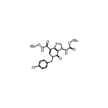 CC(C)(C)ONC(=O)C1=CC(Cc2ccc(Cl)cc2)C(=O)C2=C1SCN2NC(=O)OC(C)(C)C